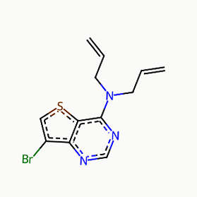 C=CCN(CC=C)c1ncnc2c(Br)csc12